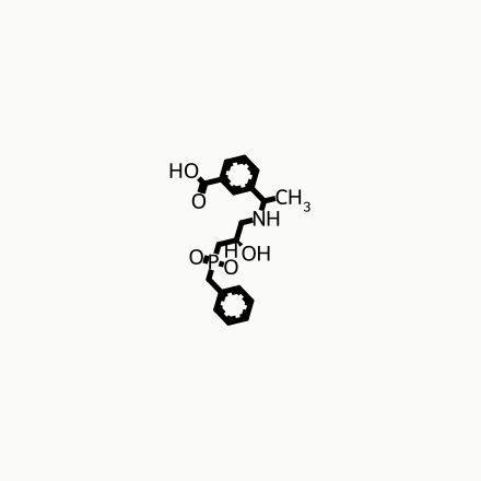 CC(NC[C@@H](O)CP(=O)(O)Cc1ccccc1)c1cccc(C(=O)O)c1